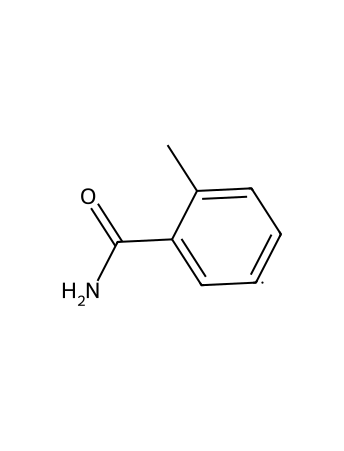 Cc1cc[c]cc1C(N)=O